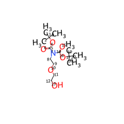 CC(C)(C)OC(=O)N(CCOCCO)C(=O)OC(C)(C)C